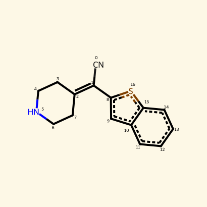 N#CC(=C1CCNCC1)c1cc2ccccc2s1